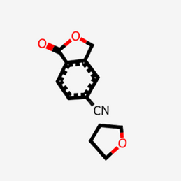 C1CCOC1.N#Cc1ccc2c(c1)COC2=O